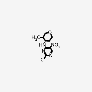 C[C@H]1COCC[C@H]1Nc1nc(Cl)ncc1[N+](=O)[O-]